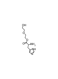 N[C@@H](Cc1cnc[nH]1)C(=O)OCCOCCO